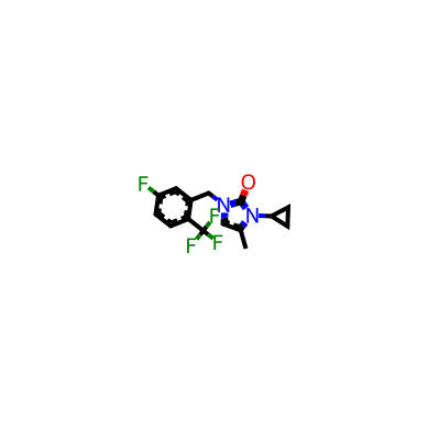 Cc1cn(Cc2cc(F)ccc2C(F)(F)F)c(=O)n1C1CC1